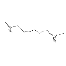 C[SiH2]CCCCC[SiH2]C